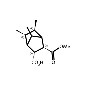 COC(=O)[C@H]1C2C(C)C([C@H]1C(=O)O)[C@H](C)[C@H]2C